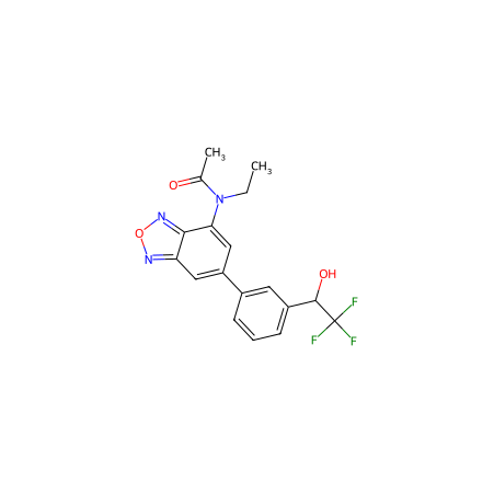 CCN(C(C)=O)c1cc(-c2cccc(C(O)C(F)(F)F)c2)cc2nonc12